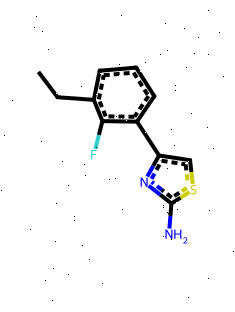 CCc1cccc(-c2csc(N)n2)c1F